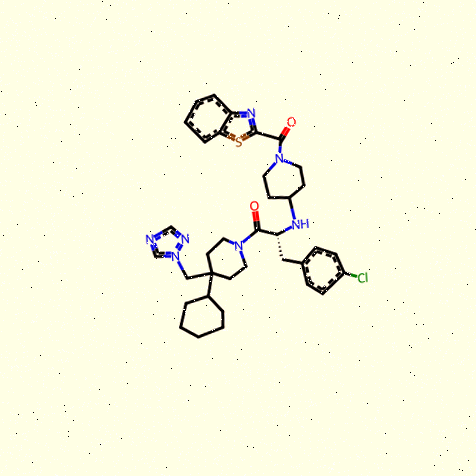 O=C(c1nc2ccccc2s1)N1CCC(N[C@H](Cc2ccc(Cl)cc2)C(=O)N2CCC(Cn3cncn3)(C3CCCCC3)CC2)CC1